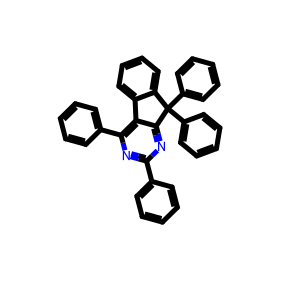 c1ccc(-c2nc(-c3ccccc3)c3c(n2)C(c2ccccc2)(c2ccccc2)c2ccccc2-3)cc1